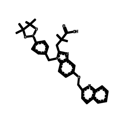 CC(C)(Cc1nc2cc(OCc3ccc4ccccc4n3)ccc2n1Cc1ccc(B2OC(C)(C)C(C)(C)O2)cc1)C(=O)O